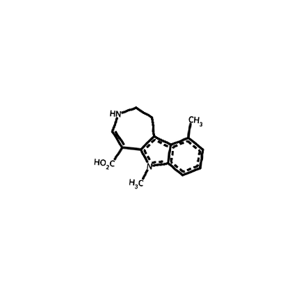 Cc1cccc2c1c1c(n2C)C(C(=O)O)=CNCC1